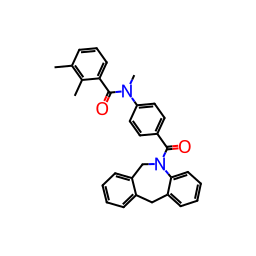 Cc1cccc(C(=O)N(C)c2ccc(C(=O)N3Cc4ccccc4Cc4ccccc43)cc2)c1C